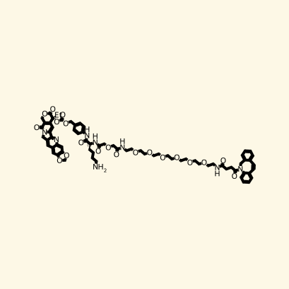 CC[C@@]1(OC(=O)OCc2ccc(NC(=O)[C@H](CCCCN)NC(=O)COCC(=O)NCCOCCOCCOCCOCCOCCOCCNC(=O)CCC(=O)N3Cc4ccccc4C#Cc4ccccc43)cc2)C(=O)OCc2c1cc1n(c2=O)Cc2cc3cc4c(cc3nc2-1)OCO4